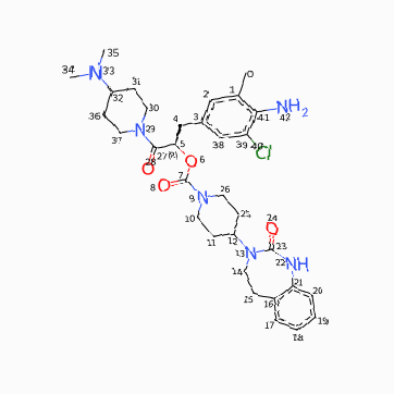 Cc1cc(C[C@@H](OC(=O)N2CCC(N3CCc4ccccc4NC3=O)CC2)C(=O)N2CCC(N(C)C)CC2)cc(Cl)c1N